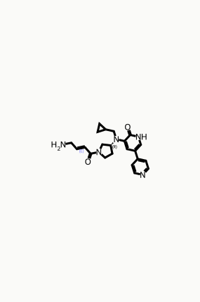 NC/C=C/C(=O)N1CC[C@@H](N(CC2CC2)c2cc(-c3ccncc3)c[nH]c2=O)C1